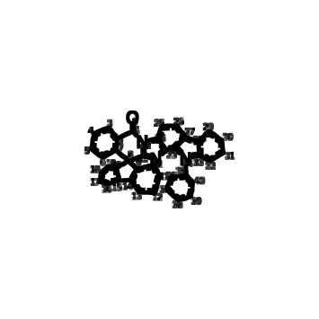 O=C1c2ccccc2C2(c3ccccc3-c3ccccc32)c2nc3c(ccc4c5ccccc5n(-c5ccccc5)c43)n21